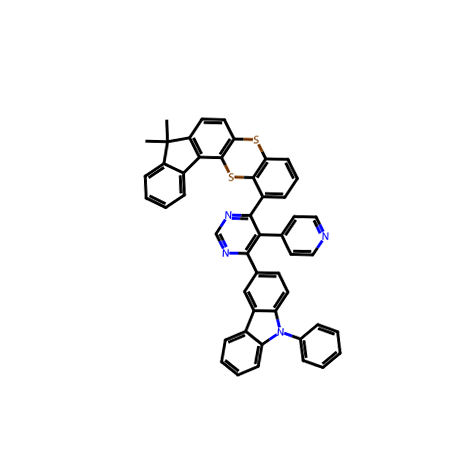 CC1(C)c2ccccc2-c2c1ccc1c2Sc2c(cccc2-c2ncnc(-c3ccc4c(c3)c3ccccc3n4-c3ccccc3)c2-c2ccncc2)S1